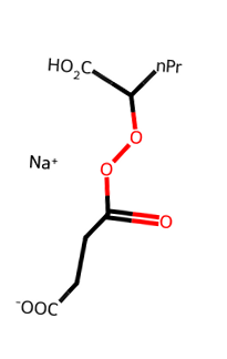 CCCC(OOC(=O)CCC(=O)[O-])C(=O)O.[Na+]